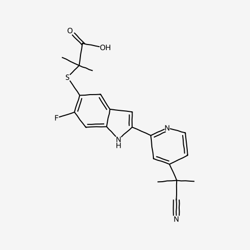 CC(C)(Sc1cc2cc(-c3cc(C(C)(C)C#N)ccn3)[nH]c2cc1F)C(=O)O